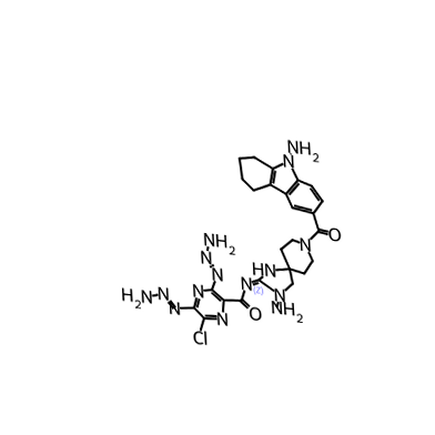 NN=Nc1nc(N=NN)c(C(=O)/N=C2/NC3(CCN(C(=O)c4ccc5c(c4)c4c(n5N)CCCC4)CC3)CN2N)nc1Cl